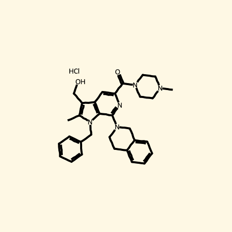 Cc1c(CO)c2cc(C(=O)N3CCN(C)CC3)nc(N3CCc4ccccc4C3)c2n1Cc1ccccc1.Cl